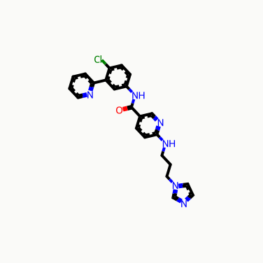 O=C(Nc1ccc(Cl)c(-c2ccccn2)c1)c1ccc(NCCCn2ccnc2)nc1